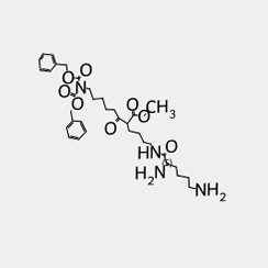 COC(=O)C(CCCCNC(=O)[C@@H](N)CCCCN)C(=O)CCCCCN(C(=O)OCc1ccccc1)C(=O)OCc1ccccc1